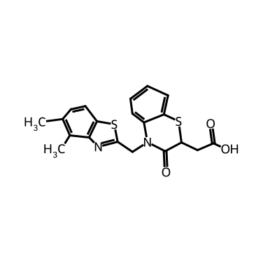 Cc1ccc2sc(CN3C(=O)C(CC(=O)O)Sc4ccccc43)nc2c1C